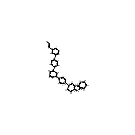 C/C=C/c1cccc(-c2ccc(-c3cccc(-c4ccc(-c5ccc6sc7ccccc7c6c5)cc4)c3)cc2)c1